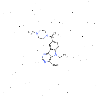 COc1ncnc2c3cc([C@H](C)N4CCN(C)CC4)ccc3n(CC(F)(F)F)c12